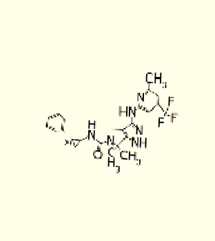 Cc1cc(C(F)(F)F)cc(Nc2n[nH]c3c2CN(C(=O)NC2C[C@@H]2c2ccccc2)C3(C)C)n1